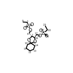 CCS(=O)(=O)OC[C@H]1OC2(CCCCC2)O[C@@H]1COS(=O)(=O)CC